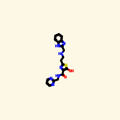 O=C(NCc1ncccn1)c1nc(CCNCc2nc3ccccc3[nH]2)sc1O